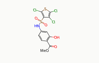 COC(=O)c1ccc(NS(=O)(=O)c2c(Cl)sc(Cl)c2Cl)cc1O